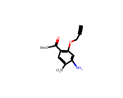 C#CCOc1cc(N)c([N+](=O)[O-])cc1C(=O)OC